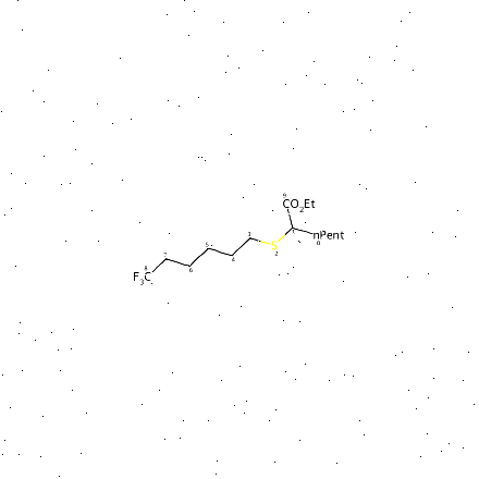 CCCCCC(SCCCCCC(F)(F)F)C(=O)OCC